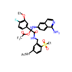 CCOc1cc(C(Nc2ccc3c(N)nccc3c2)(OC(=O)C(F)(F)F)C(=O)NCc2cc(NC(C)=O)ccc2S(=O)(=O)CC)ccc1F